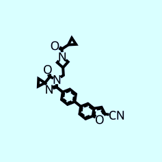 N#Cc1cc2cc(-c3ccc(C4=NC5(CC5)C(=O)N4CC4CN(C(=O)C5CC5)C4)cc3)ccc2o1